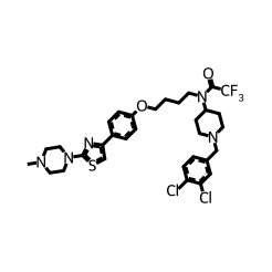 CN1CCN(c2nc(-c3ccc(OCCCCN(C(=O)C(F)(F)F)C4CCN(Cc5ccc(Cl)c(Cl)c5)CC4)cc3)cs2)CC1